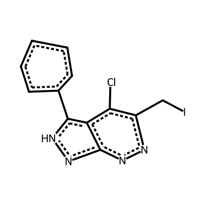 Clc1c(CI)nnc2n[nH]c(-c3ccccc3)c12